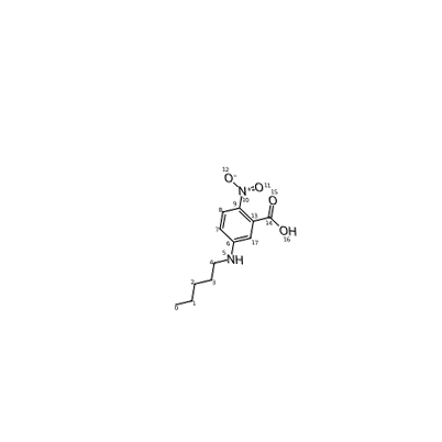 CCCCCNc1ccc([N+](=O)[O-])c(C(=O)O)c1